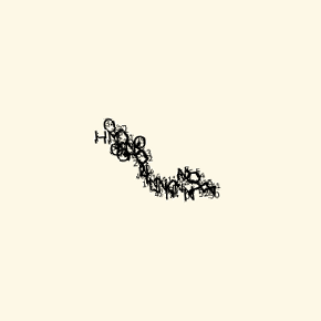 N#CC1(c2ccc3cnn(-c4cc(N5CCN(CC6CN(c7ccc8c(c7)C(=O)N(C7CCC(=O)NC7=O)C8=O)C6)CC5)ncn4)c3c2)CC2(CC2)C1